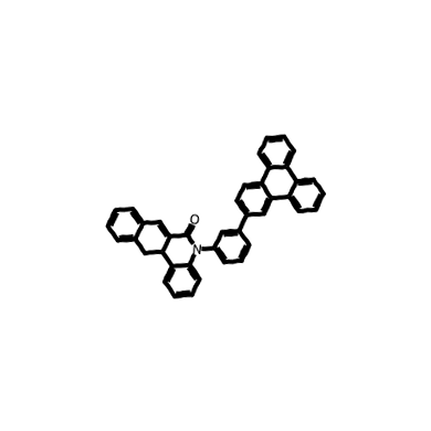 O=C1C2=Cc3ccccc3CC2c2ccccc2N1c1cccc(-c2ccc3c4ccccc4c4ccccc4c3c2)c1